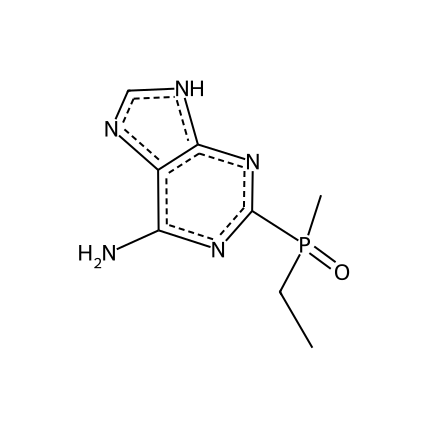 CCP(C)(=O)c1nc(N)c2nc[nH]c2n1